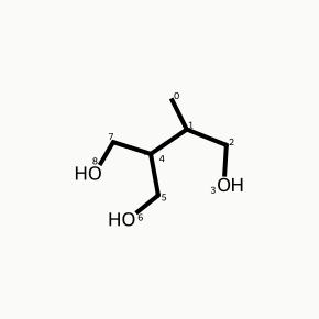 CC(CO)[C](CO)CO